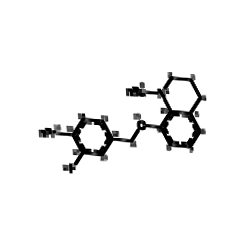 CCCCN1CCCc2cccc(OCc3ccc(CCC)c(F)c3)c21